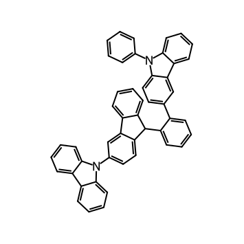 c1ccc(-n2c3ccccc3c3cc(-c4ccccc4C4c5ccccc5-c5cc(-n6c7ccccc7c7ccccc76)ccc54)ccc32)cc1